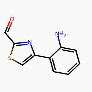 Nc1ccccc1-c1csc(C=O)n1